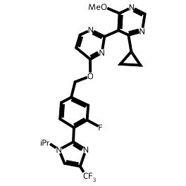 COc1ncnc(C2CC2)c1-c1nccc(OCc2ccc(-c3nc(C(F)(F)F)cn3C(C)C)c(F)c2)n1